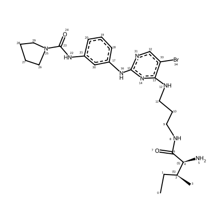 CC[C@H](C)[C@H](N)C(=O)NCCCNc1nc(Nc2cccc(NC(=O)N3CCCC3)c2)ncc1Br